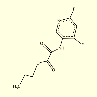 CCCOC(=O)C(=O)Nc1cnc(F)cc1F